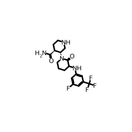 NC(=O)[C@H]1CCNC[C@@H]1N1CCCC(Nc2cc(F)cc(C(F)(F)F)c2)C1=O